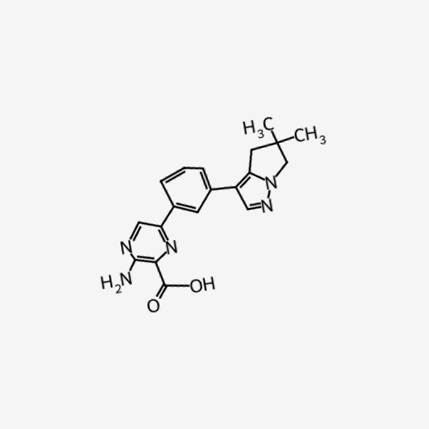 CC1(C)Cc2c(-c3cccc(-c4cnc(N)c(C(=O)O)n4)c3)cnn2C1